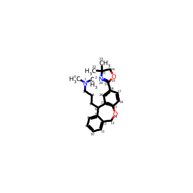 CN(C)CCCC1c2ccccc2COc2ccc(C3=NC(C)(C)CO3)cc21